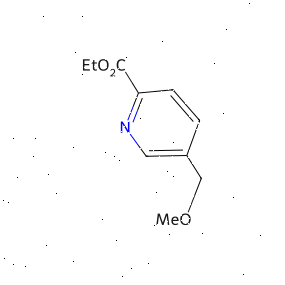 CCOC(=O)c1ccc(COC)cn1